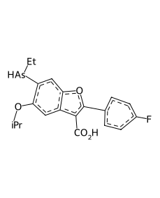 CC[AsH]c1cc2oc(-c3ccc(F)cc3)c(C(=O)O)c2cc1OC(C)C